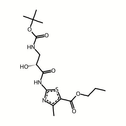 CCCOC(=O)c1sc(NC(=O)[C@H](O)CNC(=O)OC(C)(C)C)nc1C